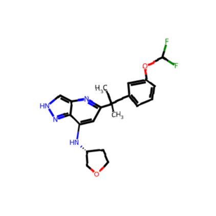 CC(C)(c1cccc(OC(F)F)c1)c1cc(N[C@@H]2CCOC2)c2n[nH]cc2n1